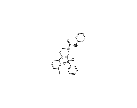 O=C(Nc1ccccc1)[C@@H]1CC[C@H](c2cccc(F)c2)N(S(=O)(=O)c2ccccc2)C1